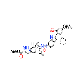 COC(=O)C(N)Cc1ccc(C(C)(C)NC(=O)c2ccc3c(C4CCCCC4)c4n(c3c2)CCOc2cc(OC)ccc2-4)cc1